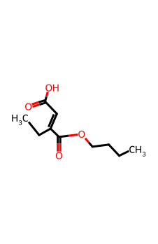 CCCCOC(=O)C(=CC(=O)O)CC